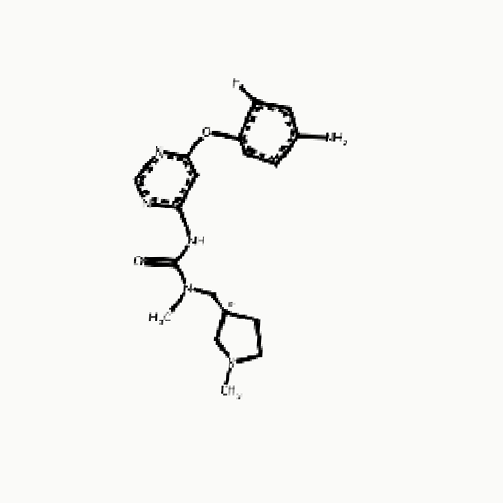 CN1CC[C@H](CN(C)C(=O)Nc2cc(Oc3ccc(N)cc3F)ncn2)C1